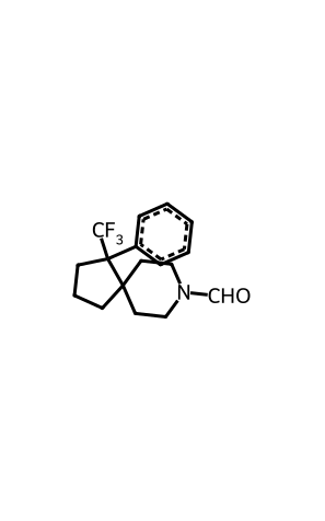 O=CN1CCC2(CCCC2(c2ccccc2)C(F)(F)F)CC1